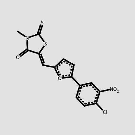 CN1C(=O)C(=Cc2ccc(-c3ccc(Cl)c([N+](=O)[O-])c3)o2)SC1=S